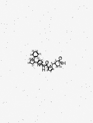 O=C1CC(Cn2cccc2C(=O)Nc2nc([C@H]3CCCN3c3ccccc3)cs2)CCN1